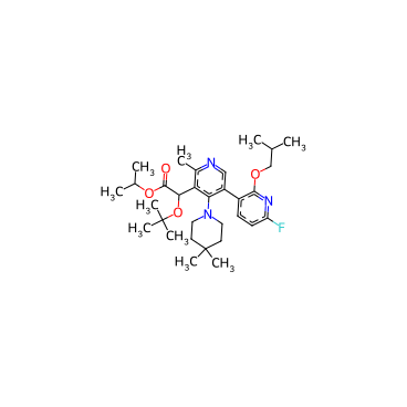 Cc1ncc(-c2ccc(F)nc2OCC(C)C)c(N2CCC(C)(C)CC2)c1C(OC(C)(C)C)C(=O)OC(C)C